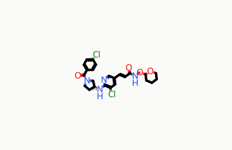 O=C(C=Cc1cnc(N[C@@H]2CCN(C(=O)c3ccc(Cl)cc3)C2)c(Cl)c1)NOC1CCCCO1